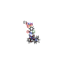 CCONS(=O)(=O)c1ccc(Cl)c(C(=O)N2CCC(CCN3[C@@H]4CC[C@H]3C[C@@H](n3c(C)nc5ccccc53)C4)(c3ccccc3)CC2)c1